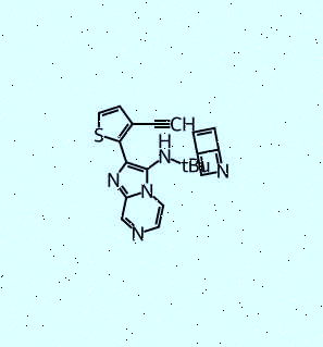 C#Cc1ccsc1-c1nc2cnccn2c1NC(C)(C)C.c1cc2ncc1-2